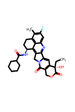 CC[C@@]1(O)C(=O)OCc2c1cc1n(c2=O)Cc2c-1nc1cc(F)c(C)c3c1c2[C@@H](NC(=O)C1CCCCC1)CC3